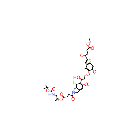 CCOC(=O)CCC(=O)c1cc2c(F)c(OCCC(O)c3c(OC)cc4c(c3F)CN(C(=O)CCC(=O)O[C@@H](C)CNC(=O)OC(C)(C)C)C4)c(OC)cc2s1